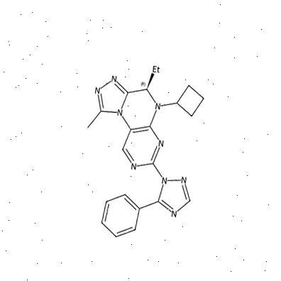 CC[C@@H]1c2nnc(C)n2-c2cnc(-n3ncnc3-c3ccccc3)nc2N1C1CCC1